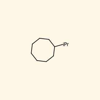 CC(C)C1CCCCCCC1